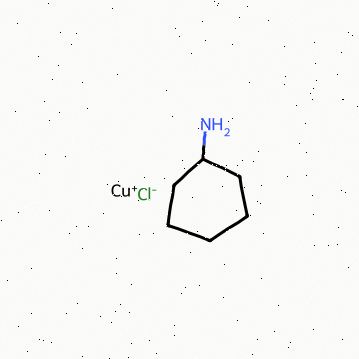 NC1CCCCC1.[Cl-].[Cu+]